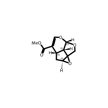 COC(=O)C1=CO[C@@H]2OCC34O[C@H]3C[C@H]1[C@H]24